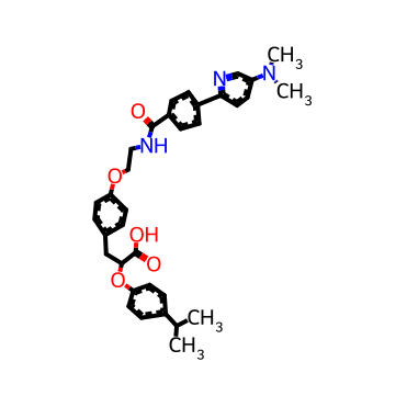 CC(C)c1ccc(OC(Cc2ccc(OCCNC(=O)c3ccc(-c4ccc(N(C)C)cn4)cc3)cc2)C(=O)O)cc1